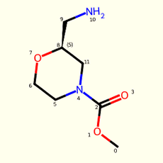 COC(=O)N1CCO[C@@H](CN)C1